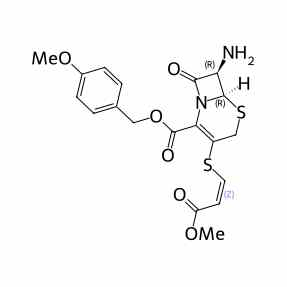 COC(=O)/C=C\SC1=C(C(=O)OCc2ccc(OC)cc2)N2C(=O)[C@@H](N)[C@H]2SC1